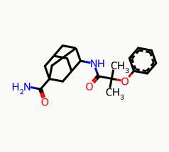 CC(C)(Oc1ccccc1)C(=O)NC1C2CC3CC1CC(C(N)=O)(C3)C2